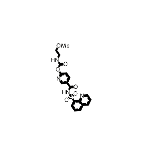 COCCNC(=O)Oc1ccc(C(=O)NS(=O)(=O)c2cccc3cccnc23)cn1